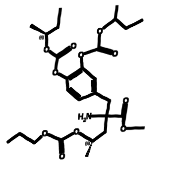 CCCOC(=O)O[C@@H](C)CC(N)(Cc1ccc(OC(=O)O[C@@H](C)CC)c(OC(=O)OC(C)CC)c1)C(=O)OC